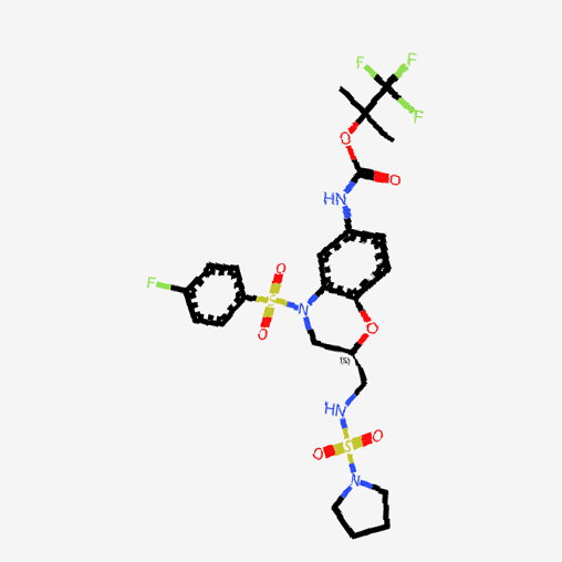 CC(C)(OC(=O)Nc1ccc2c(c1)N(S(=O)(=O)c1ccc(F)cc1)C[C@H](CNS(=O)(=O)N1CCCC1)O2)C(F)(F)F